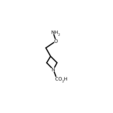 NOCC1CN(C(=O)O)C1